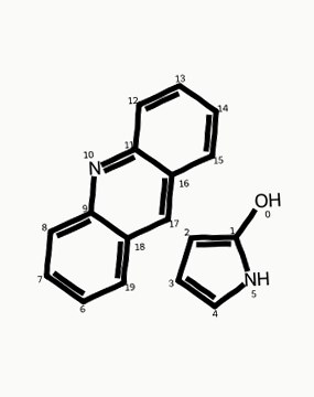 Oc1ccc[nH]1.c1ccc2nc3ccccc3cc2c1